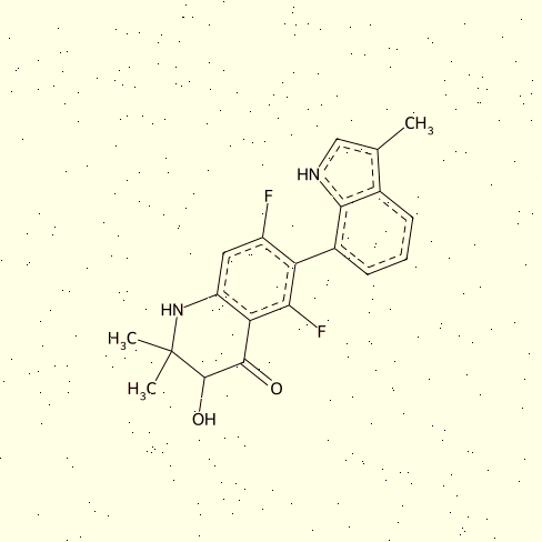 Cc1c[nH]c2c(-c3c(F)cc4c(c3F)C(=O)C(O)C(C)(C)N4)cccc12